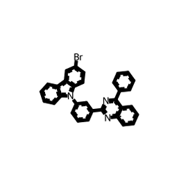 Brc1ccc2c(c1)c1ccccc1n2-c1cccc(-c2nc(-c3ccccc3)c3ccccc3n2)c1